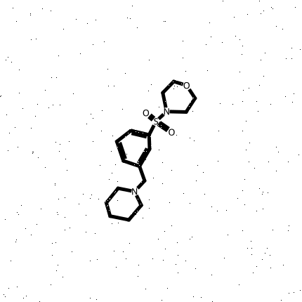 O=S(=O)(c1cccc(CN2CCCCC2)c1)N1CCOCC1